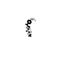 C[C](c1ccc(N)cc1)c1csc(N(C)C(=O)OC(C)(C)C)n1